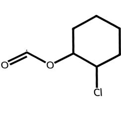 O=[C]OC1CCCCC1Cl